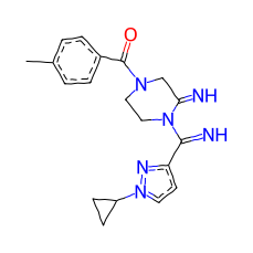 Cc1ccc(C(=O)N2CCN(C(=N)c3ccn(C4CC4)n3)C(=N)C2)cc1